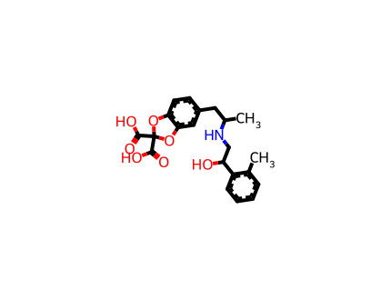 Cc1ccccc1C(O)CNC(C)Cc1ccc2c(c1)OC(C(=O)O)(C(=O)O)O2